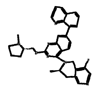 C[C@@H]1Cc2cncc(F)c2CN1c1nc(OC[C@@H]2CCCN2C)nc2cc(-c3cccc4cccnc34)ccc12